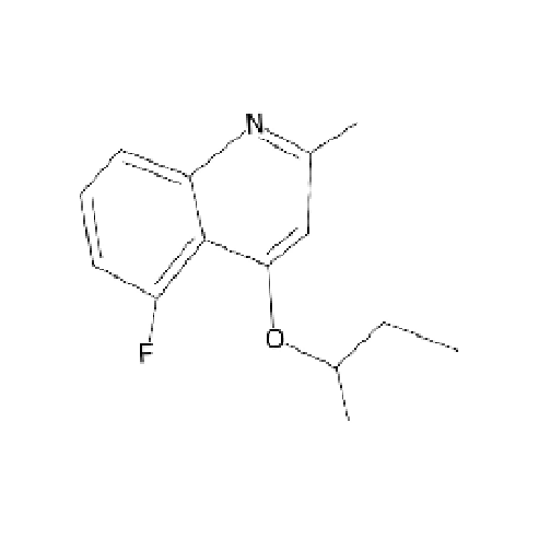 CCC(C)Oc1cc(C)nc2cccc(F)c12